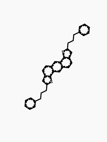 c1ccc(CCCc2cc3ccc4cc5c(ccc6cc(CCCc7ccccc7)sc65)cc4c3s2)cc1